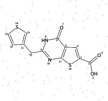 O=C(O)c1cc2c(=O)[nH]c(Cc3ccsc3)nc2s1